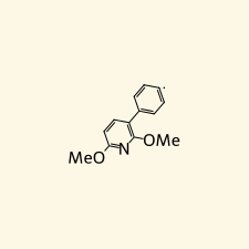 COc1ccc(-c2cc[c]cc2)c(OC)n1